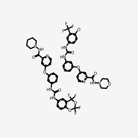 O=C(Nc1cccc(Oc2ccnc(C(=O)NN3CCCCC3)c2)c1)Nc1ccc2c(c1)C(F)(F)OC(F)(F)O2.O=C(Nc1cccc(Oc2ccnc(C(=O)NN3CCOCC3)c2)c1)Nc1ccc(Cl)c(C(F)(F)F)c1